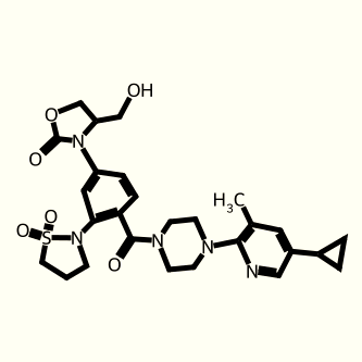 Cc1cc(C2CC2)cnc1N1CCN(C(=O)c2ccc(N3C(=O)OCC3CO)cc2N2CCCS2(=O)=O)CC1